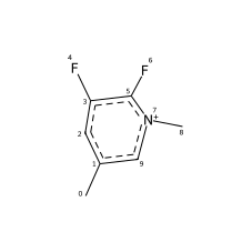 Cc1cc(F)c(F)[n+](C)c1